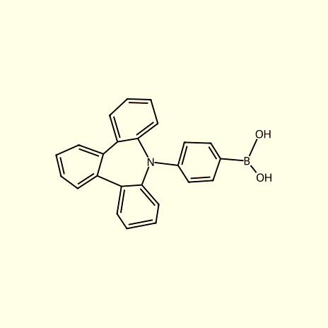 OB(O)c1ccc(N2c3ccccc3-c3ccccc3-c3ccccc32)cc1